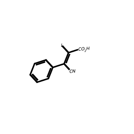 N#C/C(=C(/I)C(=O)O)c1ccccc1